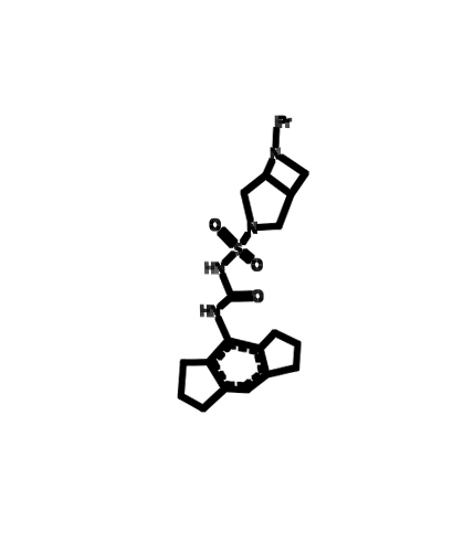 CC(C)N1CC2CN(S(=O)(=O)NC(=O)Nc3c4c(cc5c3CCC5)CCC4)CC21